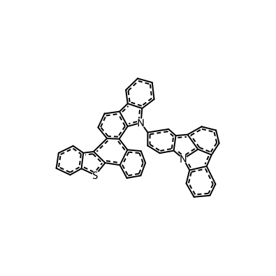 c1ccc2c(c1)sc1c3ccccc3c3c(ccc4c5ccccc5n(-c5ccc6c(c5)c5cccc7c8ccccc8n6c75)c43)c21